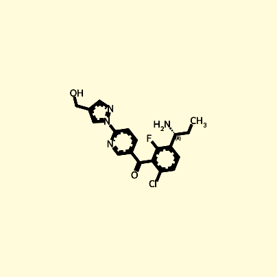 CC[C@@H](N)c1ccc(Cl)c(C(=O)c2ccc(-n3cc(CO)cn3)nc2)c1F